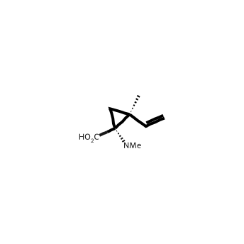 C=C[C@]1(C)C[C@]1(NC)C(=O)O